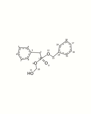 O=P(Cc1ccccc1)(OCO)OCc1ccccc1